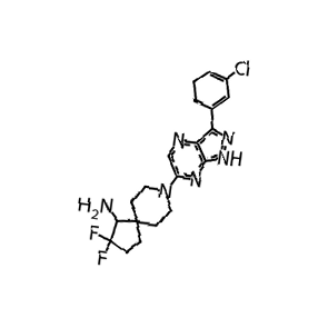 NC1C(F)(F)CCC12CCN(c1cnc3c(C4=CC(Cl)=CCC4)n[nH]c3n1)CC2